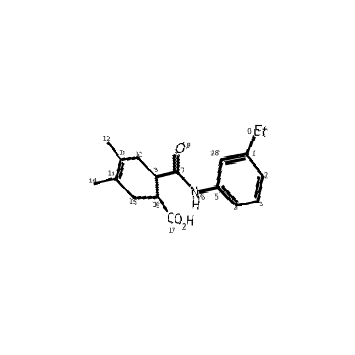 CCc1cccc(NC(=O)C2CC(C)=C(C)CC2C(=O)O)c1